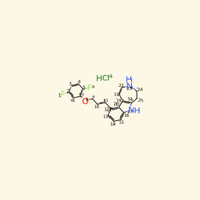 Cl.Fc1ccc(F)c(OCCCc2cccc3[nH]c4c(c23)CCNCC4)c1